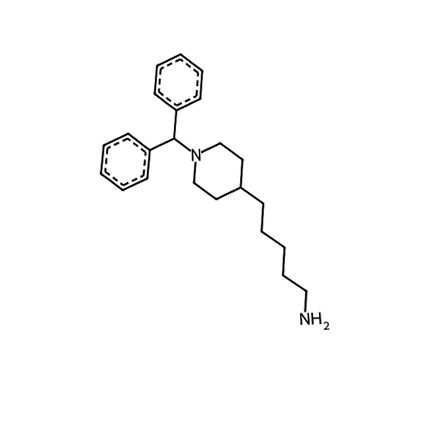 NCCCCCC1CCN(C(c2ccccc2)c2ccccc2)CC1